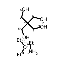 CCN.CCOCC.OCC(CO)(CO)CO